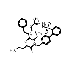 CCCCC(=O)N(Cc1ccc(-c2ccccc2S(N)(=O)=O)cc1)N(CC)C(=O)[C@@H](CSC(C)=O)Cc1ccccc1